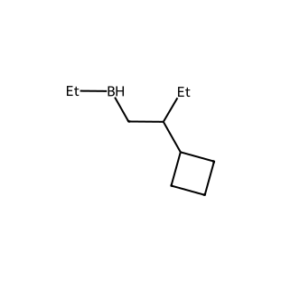 CCBCC(CC)C1CCC1